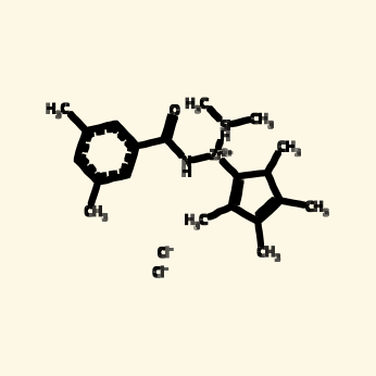 CC1=C(C)C(C)[C]([Zr+2]([NH]C(=O)c2cc(C)cc(C)c2)[SiH](C)C)=C1C.[Cl-].[Cl-]